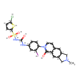 CN1Cc2cc3ccn(-c4ccc(NC(=O)NS(=O)(=O)c5ccc(Cl)s5)cc4I)c(=O)c3cc2C1